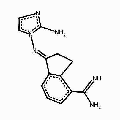 N=C(N)c1cccc2c1CCC2=Nn1ccnc1N